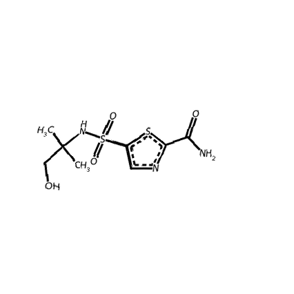 CC(C)(CO)NS(=O)(=O)c1cnc(C(N)=O)s1